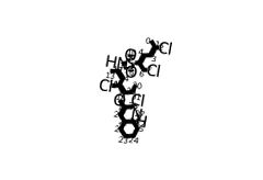 C/C(Cl)=C\C=C(/CCl)S(=O)(=O)N/C(C)=C/C(Cl)=C(/OC1=CC2CCCC[C@@H]2N=C1)C(C)Cl